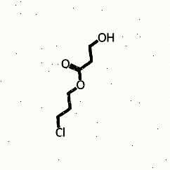 O=C(CCO)OCCCCl